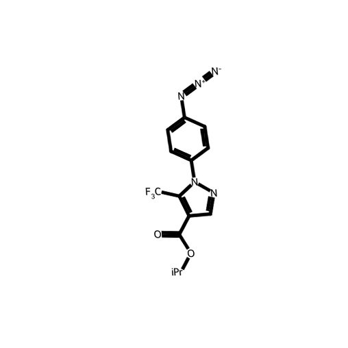 CC(C)OC(=O)c1cnn(-c2ccc(N=[N+]=[N-])cc2)c1C(F)(F)F